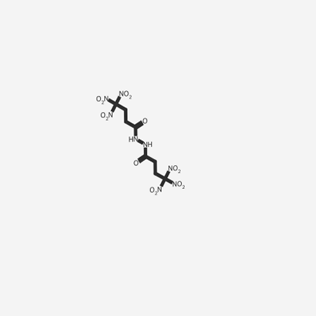 O=C(CCC([N+](=O)[O-])([N+](=O)[O-])[N+](=O)[O-])NNC(=O)CCC([N+](=O)[O-])([N+](=O)[O-])[N+](=O)[O-]